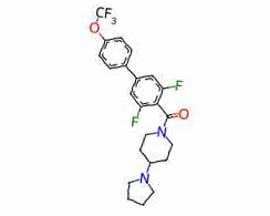 O=C(c1c(F)cc(-c2ccc(OC(F)(F)F)cc2)cc1F)N1CCC(N2CCCC2)CC1